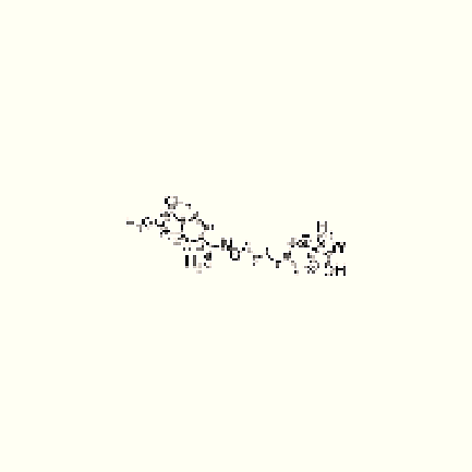 CC(=NOCCCCC1COC(C)(C(=O)O)OC1)c1ccc2c(C)c(C)oc2c1